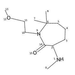 CNC1CCCC(C)(C)N(CCOC)C1=O